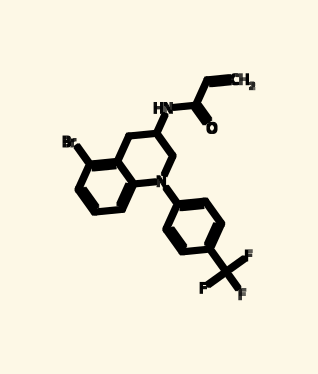 C=CC(=O)NC1Cc2c(Br)cccc2N(c2ccc(C(F)(F)F)cc2)C1